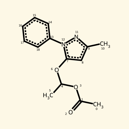 CC(=O)OC(C)Oc1cc(C)nn1-c1ccccc1